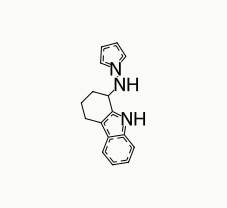 c1ccc2c3c([nH]c2c1)C(Nn1cccc1)CCC3